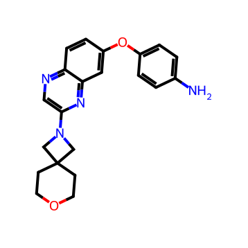 Nc1ccc(Oc2ccc3ncc(N4CC5(CCOCC5)C4)nc3c2)cc1